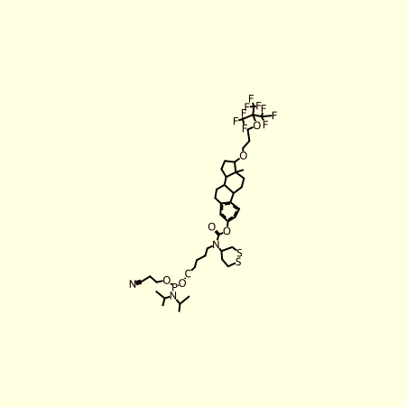 CC(C)N(C(C)C)P(OCCC#N)OCCCCCN(C(=O)Oc1ccc2c(c1)CCC1C2CCC2(C)C(OCCCOC(C(F)(F)F)(C(F)(F)F)C(F)(F)F)CCC12)C1CCSSC1